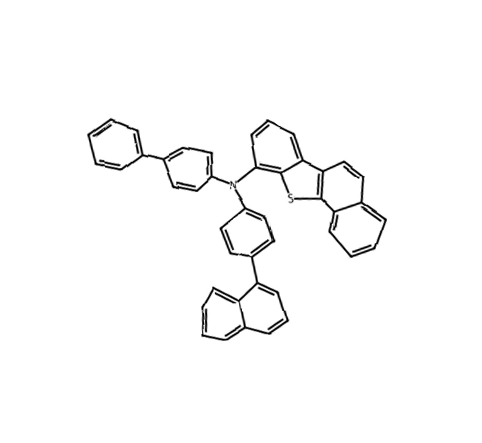 c1ccc(-c2ccc(N(c3ccc(-c4cccc5ccccc45)cc3)c3cccc4c3sc3c5ccccc5ccc43)cc2)cc1